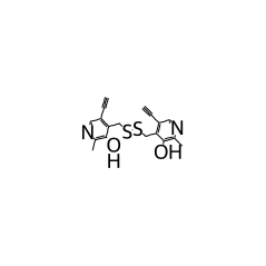 C#Cc1cnc(C)c(O)c1CSSCc1c(C#C)cnc(C)c1O